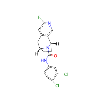 O=C(Nc1ccc(Cl)c(Cl)c1)N1[C@@H]2CC[C@H]1c1cnc(F)cc1C2